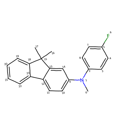 CN(c1ccc(F)cc1)c1ccc2c(c1)C(C)(C)c1ccccc1-2